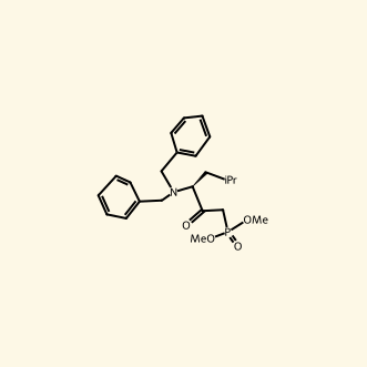 COP(=O)(CC(=O)[C@H](CC(C)C)N(Cc1ccccc1)Cc1ccccc1)OC